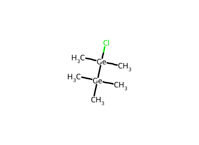 [CH3][Ge]([CH3])([CH3])[Ge]([CH3])([CH3])[Cl]